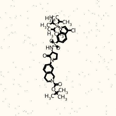 CC(C)[Si](C(C)C)(C(C)C)n1cc(Cl)c2ccc(S(=O)(=O)N[C@H]3CCN(c4ccc5c(c4)CN(C(=O)OC(C)(C)C)CC5)C3=O)cc21